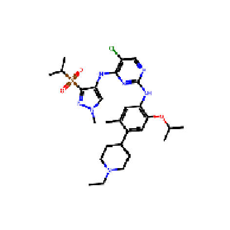 CCN1CCC(c2cc(OC(C)C)c(Nc3ncc(Cl)c(Nc4cn(C)nc4S(=O)(=O)C(C)C)n3)cc2C)CC1